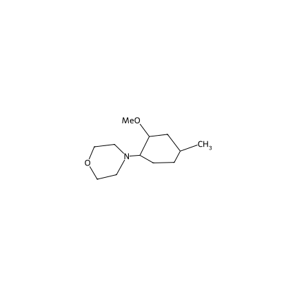 COC1CC(C)CCC1N1CCOCC1